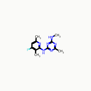 CNc1nc(C)nc(Nc2nc(C)cc(F)c2C)n1